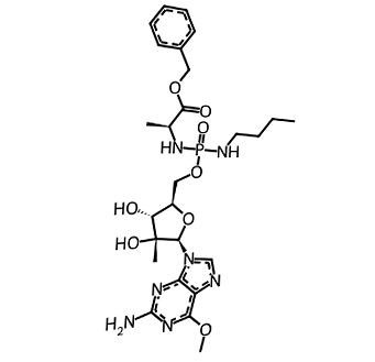 CCCCNP(=O)(N[C@@H](C)C(=O)OCc1ccccc1)OC[C@H]1O[C@@H](n2cnc3c(OC)nc(N)nc32)[C@](C)(O)[C@@H]1O